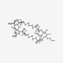 CCCCC(CC)COC(C)(C)C(=O)CCCCCOC(C)(C)C(=O)C(CC(=O)O)C1C=C(C)C(C(=O)O)C(C(=O)C(C)(C)OCCCCCC(=O)C(C)(C)OCC(CC)CCCC)C1